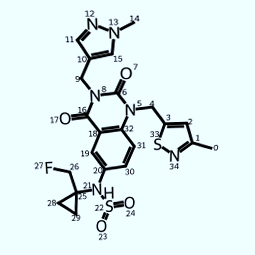 Cc1cc(Cn2c(=O)n(Cc3cnn(C)c3)c(=O)c3cc(N([SH](=O)=O)C4(CF)CC4)ccc32)sn1